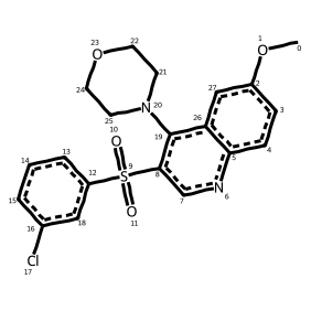 COc1ccc2ncc(S(=O)(=O)c3cccc(Cl)c3)c(N3CCOCC3)c2c1